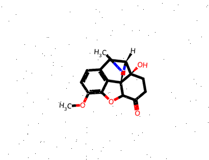 COc1ccc2c3c1OC1C(=O)CC[C@@]4(O)[C@@H](C2)N(C)C[C@]314